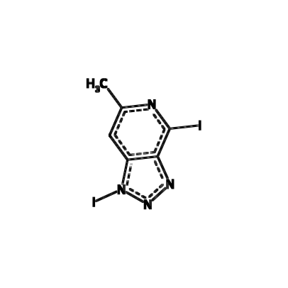 Cc1cc2c(nnn2I)c(I)n1